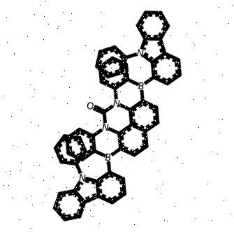 O=C1N2c3ccccc3B(c3cccc4c5ccccc5n(-c5ccccc5)c34)c3ccc4ccc5c(c4c32)N1c1ccccc1B5c1cccc2c3ccccc3n(-c3ccccc3)c12